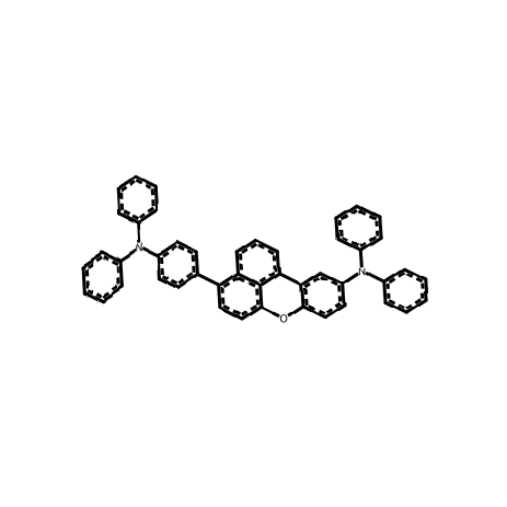 c1ccc(N(c2ccccc2)c2ccc(-c3ccc4c5c(cccc35)-c3cc(N(c5ccccc5)c5ccccc5)ccc3O4)cc2)cc1